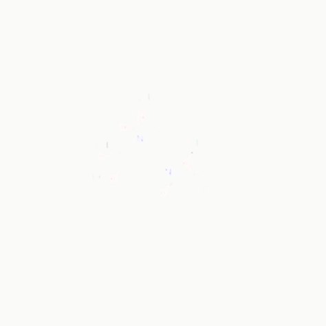 CCOC(=O)N1c2cc(OC)c(OC)cc2C(CNC(=O)c2ccccc2OC(F)(F)F)CC1C